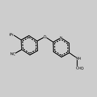 CC(C)c1cc(Oc2ccc(NC=O)cn2)ccc1C#N